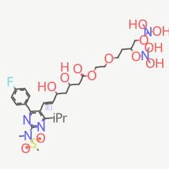 CC(C)c1nc(N(C)S(C)(=O)=O)nc(-c2ccc(F)cc2)c1/C=C/C(O)CC(O)CC(=O)OCCOCCC(CON(O)O)ON(O)O